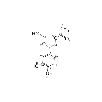 CCOC(COC(C)=O)c1ccc(O)c(O)c1